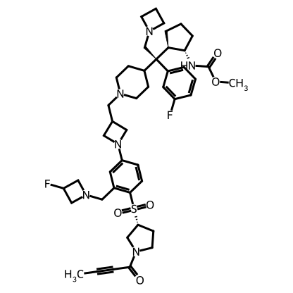 CC#CC(=O)N1CC[C@@H](S(=O)(=O)c2ccc(N3CC(CN4CCC([C@@](CN5CCC5)(c5cccc(F)c5)[C@H]5CCC[C@@H]5NC(=O)OC)CC4)C3)cc2CN2CC(F)C2)C1